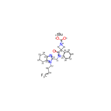 CC(C)(C)OC(=O)N1CC2(C1)C(=O)N(Cc1nc3c(n1CCCC(F)(F)F)CCCC3)c1ccccc12